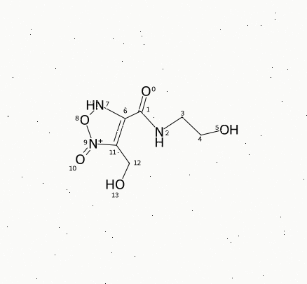 O=C(NCCO)c1[nH]o[n+](=O)c1CO